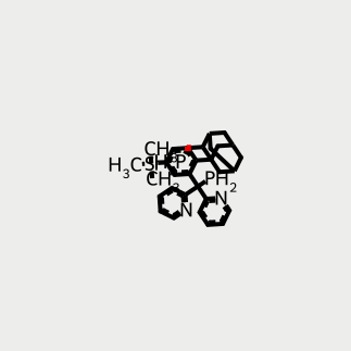 C[Si](C)(C)c1ccc(C23CC4CC(CC(C4)C2CP)C3)c(C(P)(c2ccccn2)c2ccccn2)c1